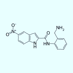 NCc1ccccc1NC(=O)c1cc2cc([N+](=O)[O-])ccc2[nH]1